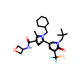 Cc1c(C(=O)NC2COC2)cc(-c2cc(C(F)(F)P)c(=O)n(CC(C)(C)C)c2)n1CC1CCCCC1